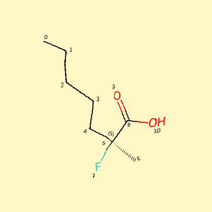 CCCCC[C@](C)(F)C(=O)O